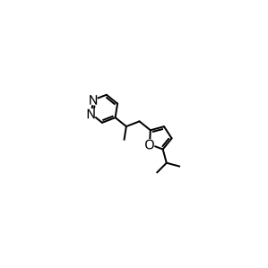 CC(C)c1ccc(CC(C)c2ccnnc2)o1